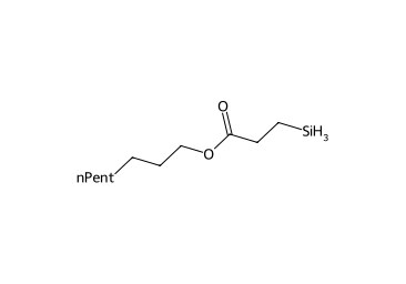 CCCCCCCCOC(=O)CC[SiH3]